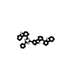 c1ccc(-c2nc(-c3ccc4sc5c(-c6cccc7c6oc6ccccc67)cccc5c4c3)nc(-c3cccc4oc5ccccc5c34)n2)cc1